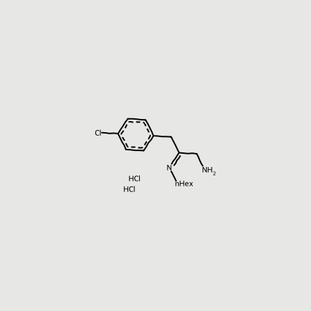 CCCCCCN=C(CN)Cc1ccc(Cl)cc1.Cl.Cl